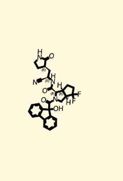 N#C[C@@H](C[C@H]1CCNC1=O)NC(=O)[C@H]1[C@@H]2CCC(F)(F)[C@@H]2CN1C(=O)C1(O)c2ccccc2-c2ccccc21